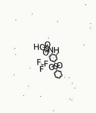 Cc1cc(S(=O)(=O)c2ccccc2)ccc1NS(=O)(=O)O.FC(F)F